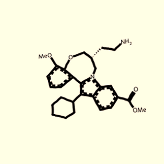 COC(=O)c1ccc2c(C3CCCCC3)c3n(c2c1)C[C@@H](CCN)COc1c(OC)cccc1-3